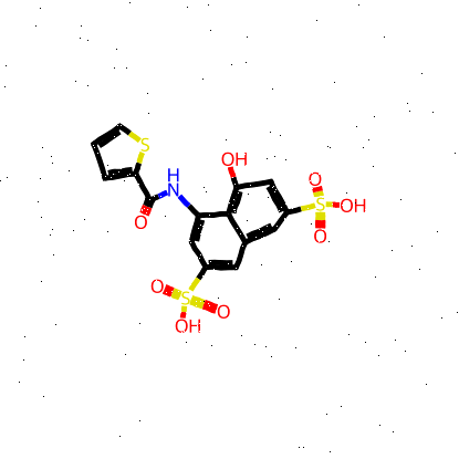 O=C(Nc1cc(S(=O)(=O)O)cc2cc(S(=O)(=O)O)cc(O)c12)c1cccs1